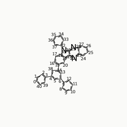 c1ccc(-c2cc(-c3ccccc3)cc(-c3ccc4c(c3)c3nc5ccccc5nc3n4-c3ccccc3)c2)cc1